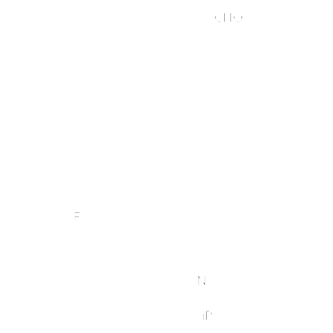 CC(C)N(Cc1ccc(-c2ccc(C=O)cc2)cc1)c1ccc(F)cc1